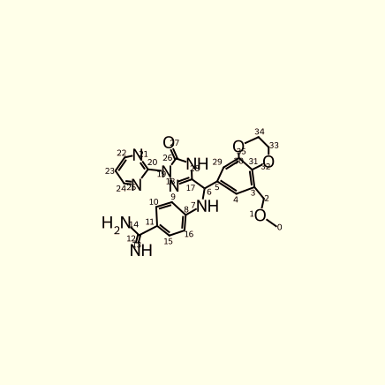 COCc1cc(C(Nc2ccc(C(=N)N)cc2)c2nn(-c3ncccn3)c(=O)[nH]2)cc2c1OCCO2